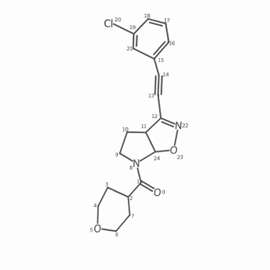 O=C(C1CCOCC1)N1CCC2C(C#Cc3cccc(Cl)c3)=NOC21